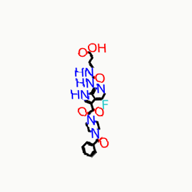 O=C(O)CCCNC(=O)Nc1ncc(F)c2c(C(=O)C(=O)N3CCN(C(=O)c4ccccc4)CC3)c[nH]c12